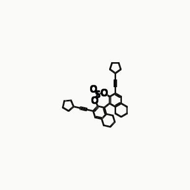 O=S1Oc2c(C#CC3CCCC3)cc3c(c2-c2c4c(cc(C#CC5CCCC5)c2O1)CCCC4)CCCC3